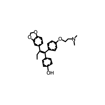 CCC(=C(c1ccc(O)cc1)c1ccc(OCCN(C)C)cc1)c1ccc2c(c1)OCO2